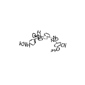 CC(=O)Nc1ccc(S(=O)(=O)NC2CCc3c(-c4noc(-c5ccc(OC(C)C)c(C#N)c5)n4)cccc32)cc1